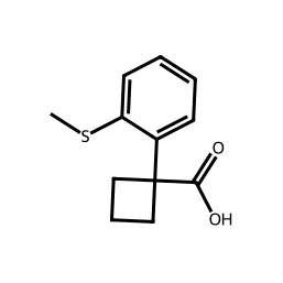 CSc1ccccc1C1(C(=O)O)CCC1